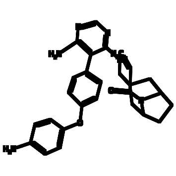 C=CC(=O)N1C2CCC1CC(CNc1ncnc(N)c1-c1ccc(Oc3ccc(N)cc3)cc1)C2